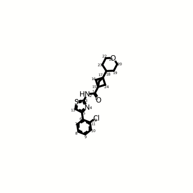 O=C(Nc1nc(-c2ccccc2Cl)cs1)C12CC(C3CCOCC3)(C1)C2